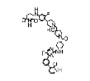 O=C1CCC(Nc2ccc(C3CCN(CC4(O)CCN(C(=O)[C@H]5CC[C@H](Nc6ncc(F)c(-c7cccc(-c8ccc[nH]c8=O)c7)n6)CC5)CC4)CC3)c(F)c2)C(=O)N1